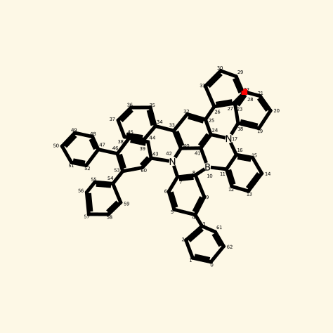 c1ccc(-c2ccc3c(c2)B2c4ccccc4N(c4ccccc4)c4c(-c5ccccc5)cc(-c5ccccc5)c(c42)N3c2ccc(-c3ccccc3)c(-c3ccccc3)c2)cc1